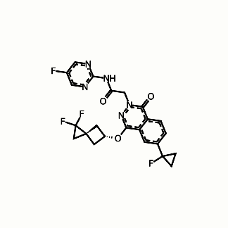 O=C(Cn1nc(O[C@H]2C[C@]3(CC3(F)F)C2)c2cc(C3(F)CC3)ccc2c1=O)Nc1ncc(F)cn1